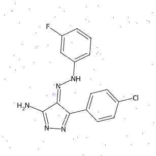 NC1=NN=C(c2ccc(Cl)cc2)/C1=N\Nc1cccc(F)c1